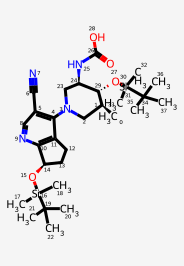 C[C@H]1CN(c2c(C#N)cnc3c2CC[C@H]3O[Si](C)(C)C(C)(C)C)C[C@@H](NC(=O)O)[C@@H]1O[Si](C)(C)C(C)(C)C